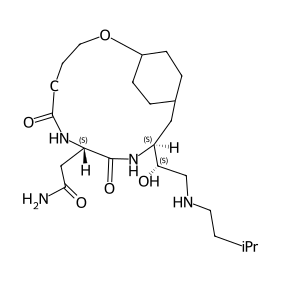 CC(C)CCNC[C@H](O)[C@@H]1CC2CCC(CC2)OCCCC(=O)N[C@@H](CC(N)=O)C(=O)N1